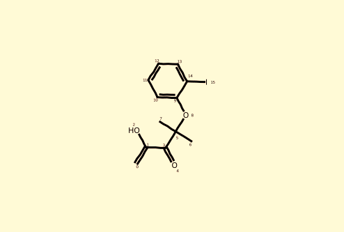 C=C(O)C(=O)C(C)(C)Oc1ccccc1I